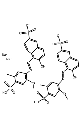 COc1cc(S(=O)(=O)O)c(C)cc1/N=N/c1c(O)ccc2cc(S(=O)(=O)[O-])ccc12.COc1cc(S(=O)(=O)O)c(C)cc1/N=N/c1c(O)ccc2cc(S(=O)(=O)[O-])ccc12.[Na+].[Na+]